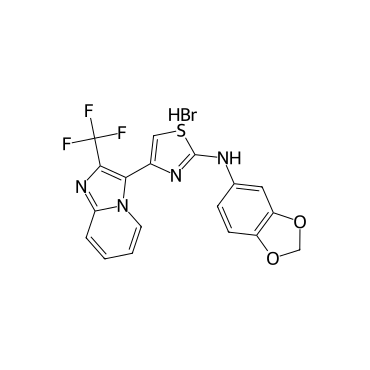 Br.FC(F)(F)c1nc2ccccn2c1-c1csc(Nc2ccc3c(c2)OCO3)n1